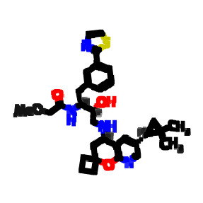 COCC(=O)N[C@@H](Cc1cccc(-c2nccs2)c1)[C@H](O)CN[C@H]1CC2(CCC2)Oc2ncc([C@@H]3CC3(C)C)cc21